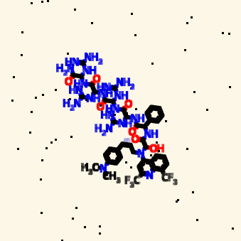 CN(C)c1ccc(/C=C\CN(c2cc(C(F)(F)F)nc3c(C(F)(F)F)cccc23)C(O)C(=O)NC(C(=O)NC(NC(=N)N)C(=O)NC(NC(=N)N)C(=O)NC(NC(=N)N)C(=O)NC(NC(=N)N)C(N)=O)c2ccccc2)cc1